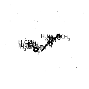 Cc1ccc(-c2nc3c4cnn(CCN5CCN(c6cc([C@H](C)O[Si](C)(C)C(C)(C)C)ccc6F)CC5)c4nc(N)n3n2)o1